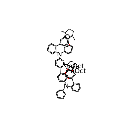 CCCCCCCCC1(CCCCCCCC)c2cc(N(c3ccccc3)c3ccccc3-c3ccc4c(c3)C3(C)CCC4(C)O3)ccc2-c2ccc(N(c3ccccc3)c3ccccc3-c3ccc4c(c3)C3(C)CCC4(C)O3)cc21